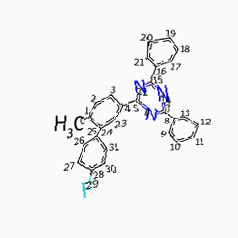 Cc1ccc(-c2nc(-c3ccccc3)nc(-c3ccccc3)n2)cc1-c1ccc(F)cc1